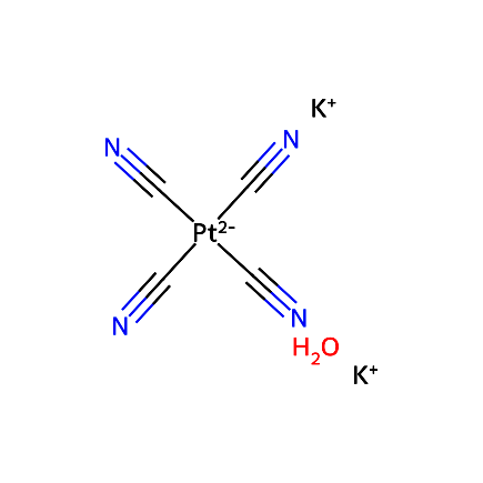 N#[C][Pt-2]([C]#N)([C]#N)[C]#N.O.[K+].[K+]